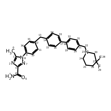 Cc1nc(C(N)=O)nn1-c1ccc(Cc2ccc(-c3ccc(CN4CCCC(F)(F)C4)cc3)cc2)cc1